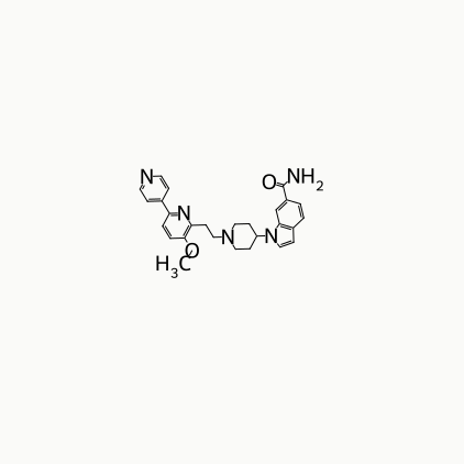 COc1ccc(-c2ccncc2)nc1CCN1CCC(n2ccc3ccc(C(N)=O)cc32)CC1